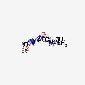 CCOc1cccc(Cn2cc(N3CCN(C(=O)c4ccc(N(CCN(C)C)C(C)=O)cc4)CC3)cn2)c1